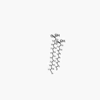 CCCCCCCCCCCCCC(=O)O.CCCCCCCCCCCCCCCCCC(=O)O